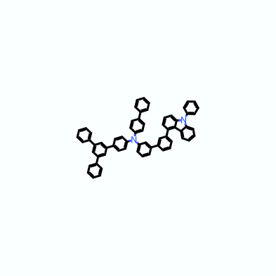 c1ccc(-c2ccc(N(c3ccc(-c4cc(-c5ccccc5)cc(-c5ccccc5)c4)cc3)c3cccc(-c4cccc(-c5cccc6c5c5ccccc5n6-c5ccccc5)c4)c3)cc2)cc1